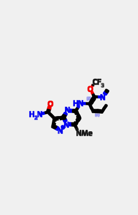 C=N/C(OC(F)(F)F)=C(\C=C/C)Nc1cc(NC)n2ncc(C(N)=O)c2n1